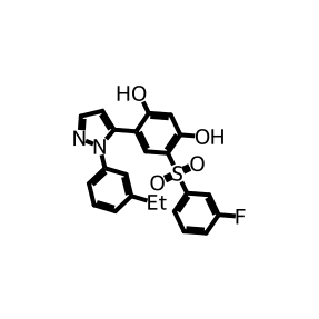 CCc1cccc(-n2nccc2-c2cc(S(=O)(=O)c3cccc(F)c3)c(O)cc2O)c1